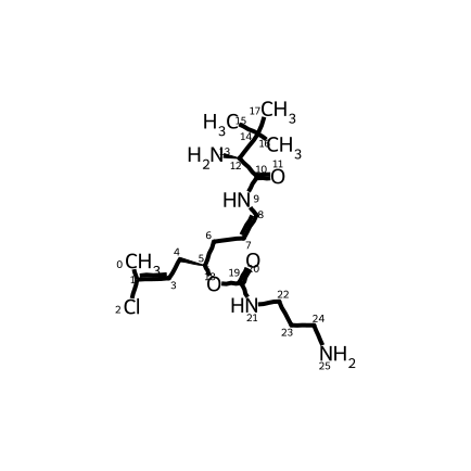 C/C(Cl)=C\C[C@@H](C/C=C\NC(=O)[C@@H](N)C(C)(C)C)OC(=O)NCCCN